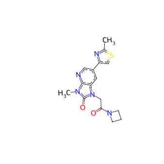 Cc1nc(-c2cnc3c(c2)n(CC(=O)N2CCC2)c(=O)n3C)cs1